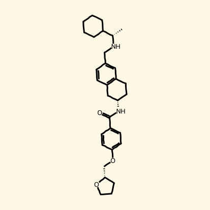 C[C@H](NCc1ccc2c(c1)CC[C@H](NC(=O)c1ccc(OC[C@@H]3CCCO3)cc1)C2)C1CCCCC1